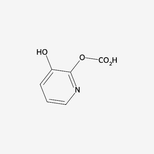 O=C(O)Oc1ncccc1O